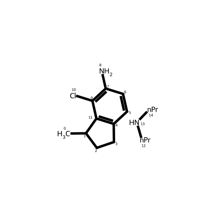 CC1CCc2ccc(N)c(Cl)c21.CCCNCCC